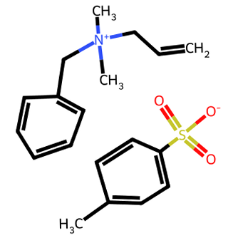 C=CC[N+](C)(C)Cc1ccccc1.Cc1ccc(S(=O)(=O)[O-])cc1